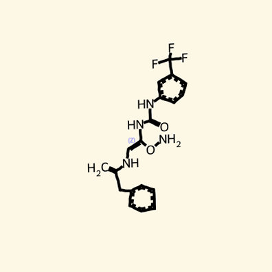 C=C(Cc1ccccc1)N/C=C(/NC(=O)Nc1cccc(C(F)(F)F)c1)ON